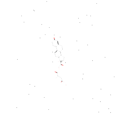 COC(=O)CC(C)C(=O)OCC(=O)[C@@]1(O)CCC2C3CCC4=CC(=O)CC[C@]4(C)C3=CC[C@@]21C